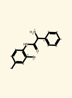 Cc1ccc(NC(=O)C(N)c2ccccc2)c(Br)c1